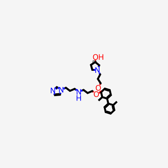 Cc1ccccc1C1=CC=CC(OCCCNCCCn2ccnc2)(OCCCN2CC[C@@H](O)C2)C1C